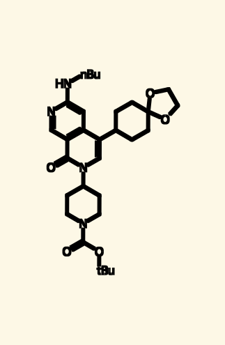 CCCCNc1cc2c(C3CCC4(CC3)OCCO4)cn(C3CCN(C(=O)OC(C)(C)C)CC3)c(=O)c2cn1